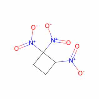 O=[N+]([O-])C1CCC1([N+](=O)[O-])[N+](=O)[O-]